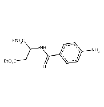 CCOC(=O)CC(NC(=O)c1ccc(N)cc1)C(=O)OCC